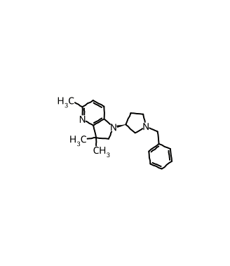 Cc1ccc2c(n1)C(C)(C)CN2[C@H]1CCN(Cc2ccccc2)C1